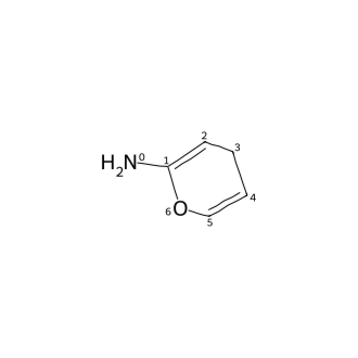 NC1=CCC=CO1